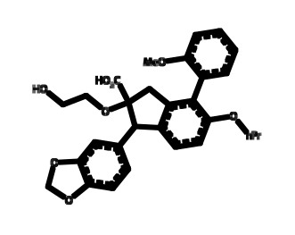 CCCOc1ccc2c(c1-c1ccccc1OC)CC(OCCO)(C(=O)O)C2c1ccc2c(c1)OCO2